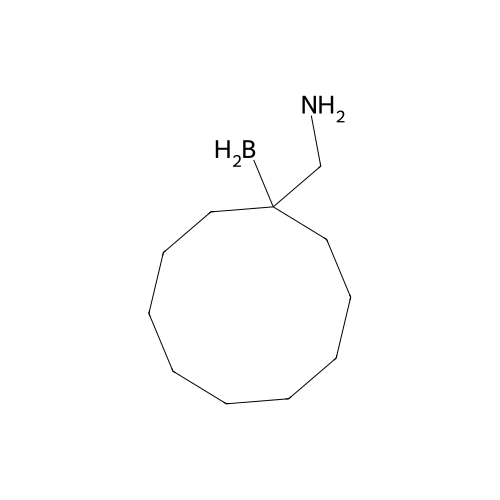 BC1(CN)CCCCCCCCC1